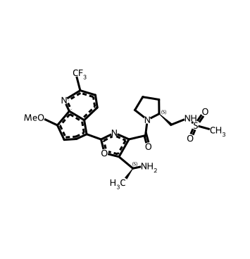 COc1ccc(-c2nc(C(=O)N3CCC[C@H]3CNS(C)(=O)=O)c([C@H](C)N)o2)c2ccc(C(F)(F)F)nc12